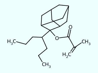 C=C(C)C(=O)OC1(C(CCC)CCC)C2CC3CC(C2)CC1C3